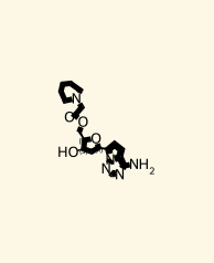 Nc1ncnn2c([C@H]3C[C@H](O)[C@@H](COC(=O)CN4CCCCC4)O3)ccc12